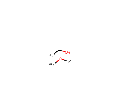 CC(=O)CO.CCCOCCC